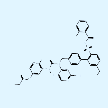 CCC(=O)Nc1ccc(Cl)c(N(C)C(=O)N(Cc2ccc(-c3cc(CC)ccc3S(=O)(=O)NC(=O)c3ccccc3Cl)cc2)c2ccnc(C)c2)c1